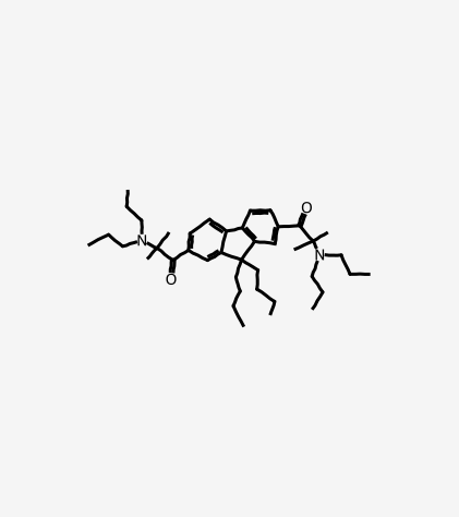 CCCCC1(CCCC)c2cc(C(=O)C(C)(C)N(CCC)CCC)ccc2-c2ccc(C(=O)C(C)(C)N(CCC)CCC)cc21